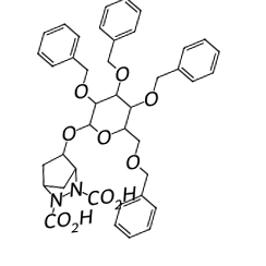 O=C(O)N1C2CC(OC3OC(COCc4ccccc4)C(OCc4ccccc4)C(OCc4ccccc4)C3OCc3ccccc3)C(C2)N1C(=O)O